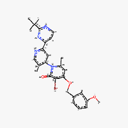 COc1cccc(COc2cc(C)n(-c3cc(-c4ccnc(C(C)(C)C)n4)ncc3C)c(=O)c2Br)c1